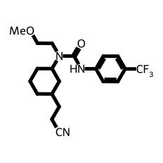 COCCN(C(=O)Nc1ccc(C(F)(F)F)cc1)C1CCCC(CCC#N)C1